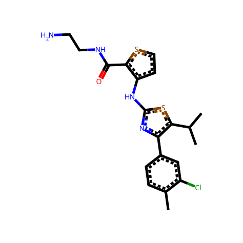 Cc1ccc(-c2nc(Nc3ccsc3C(=O)NCCN)sc2C(C)C)cc1Cl